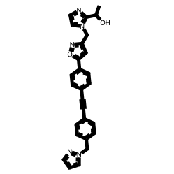 CC(O)c1nccn1Cc1cc(-c2ccc(C#Cc3ccc(Cn4cccn4)cc3)cc2)on1